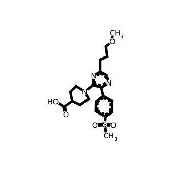 COCCCc1cnc(-c2ccc(S(C)(=O)=O)cc2)c(N2CCC(C(=O)O)CC2)n1